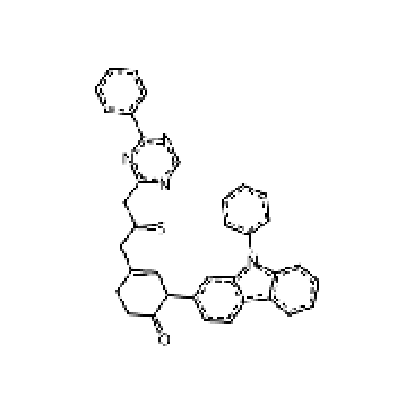 O=C1CCC(CC(=S)Cc2ncnc(-c3ccccc3)n2)=CC1c1ccc2c3ccccc3n(-c3ccccc3)c2c1